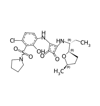 CC[C@@H](Nc1c(Nc2ccc(Cl)c(S(=O)(=O)N3CCCC3)c2O)c(=O)c1=O)[C@H]1CC[C@@H](C)O1